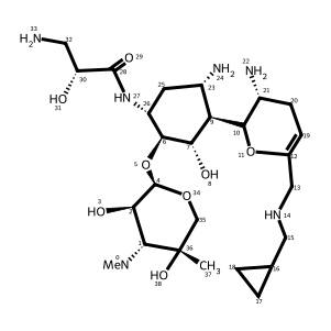 CN[C@@H]1[C@@H](O)[C@@H](O[C@@H]2[C@@H](O)[C@H](C3OC(CNCC4CC4)=CC[C@H]3N)[C@@H](N)C[C@H]2NC(=O)[C@H](O)CN)OC[C@]1(C)O